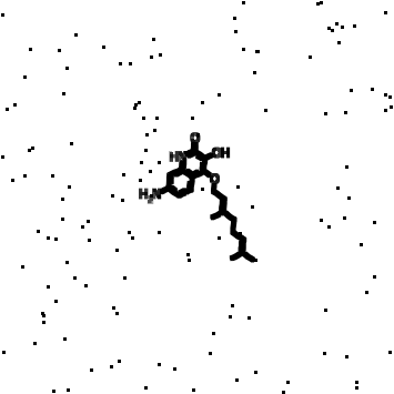 CC(C)=CCC/C(C)=C/COc1c(O)c(=O)[nH]c2cc(N)ccc12